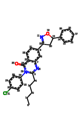 CCCCCc1nc2cc(C3=NOC(c4ccccc4)C3)ccc2c(=O)n1-c1ccc(Cl)cc1